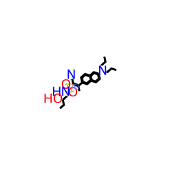 CCCN(CCC)c1ccc2cc(/C(C)=C(\C#N)S(=O)(=O)NCC(O)CC)ccc2c1